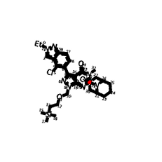 CCn1cc2c(Cl)c(-c3nn(COCC[Si](C)(C)C)c4nc(N5C6CCCC5CN(C(=O)O)C6)n(C)c(=O)c34)ccc2n1